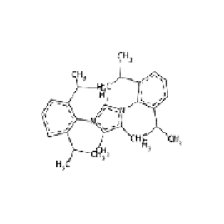 Cc1c(C)[n+](-c2c(C(C)C)cccc2C(C)C)cn1-c1c(C(C)C)cccc1C(C)C